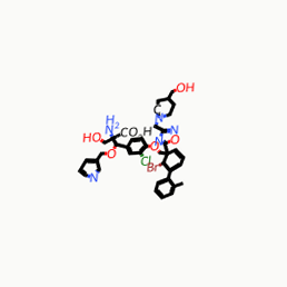 Cc1ccccc1C1=CC=CC(COc2ccc(C(OCc3cccnc3)C(N)(CO)C(=O)O)cc2Cl)(c2nc(CN3CCC(CO)CC3)no2)C1Br